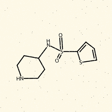 O=S(=O)(NC1CCNCC1)c1cccs1